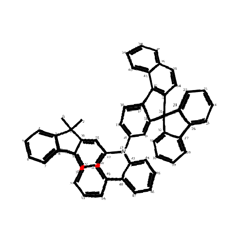 CC1(C)c2ccccc2-c2ccc(N(c3ccc4c(c3)C3(c5ccccc5-c5ccccc53)c3ccc5ccccc5c3-4)c3ccccc3-c3ccccc3)cc21